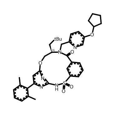 Cc1cccc(C)c1-c1cc2nc(n1)NS(=O)(=O)c1cccc(c1)C(=O)N(Cc1ccc(OC3CCCC3)cn1)[C@H](CC(C)(C)C)CO2